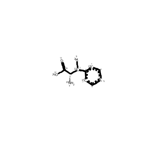 [2H][13CH](c1[13cH]c[13cH]c[13cH]1)[C@H]([15NH2])C(=O)O